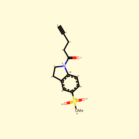 C#CCCC(=O)N1CCc2cc(S(=O)(=O)OC)ccc21